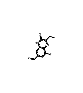 CCc1nc2c(F)cc(C=O)cc2[nH]c1=O